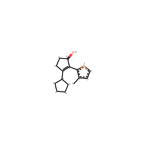 Cc1ccsc1C1=C(C2CCCC2)CCC1=O